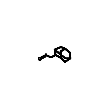 O=[C]CC1C2CC3CC(C2)CC1C3